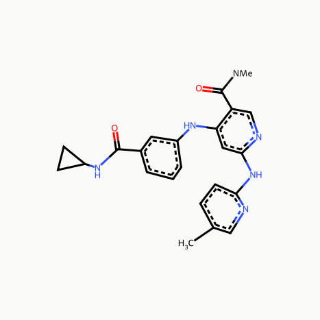 CNC(=O)c1cnc(Nc2ccc(C)cn2)cc1Nc1cccc(C(=O)NC2CC2)c1